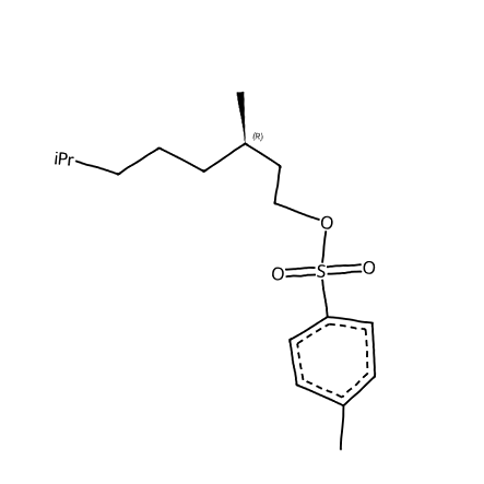 Cc1ccc(S(=O)(=O)OCC[C@H](C)CCCC(C)C)cc1